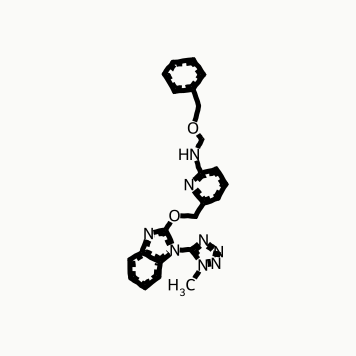 Cn1nnnc1-n1c(OCc2cccc(NCOCc3ccccc3)n2)nc2ccccc21